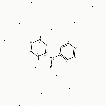 FC(c1ccccc1)[C@H]1CNCCN1